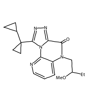 CCC(Cn1c(=O)c2nnc(C3(C4CC4)CC3)n2c2ncccc21)OC